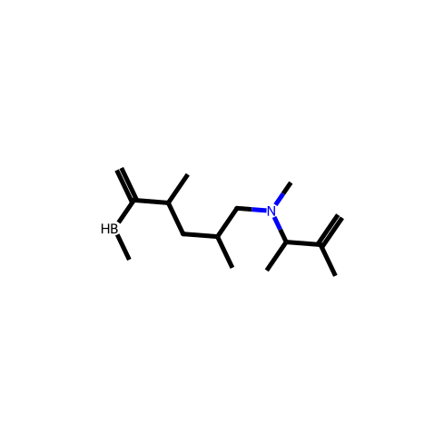 C=C(BC)C(C)CC(C)CN(C)C(C)C(=C)C